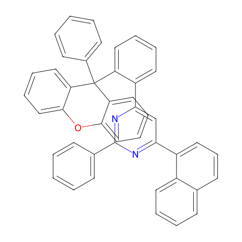 c1ccc(-c2nc(-c3ccccc3C3(c4ccccc4)c4ccccc4Oc4ccccc43)cc(-c3cccc4ccccc34)n2)cc1